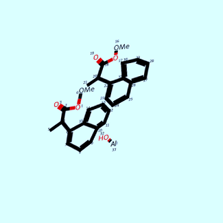 COOC(=O)C(C)c1cccc2ccccc12.COOC(=O)C(C)c1cccc2ccccc12.[OH][Al]